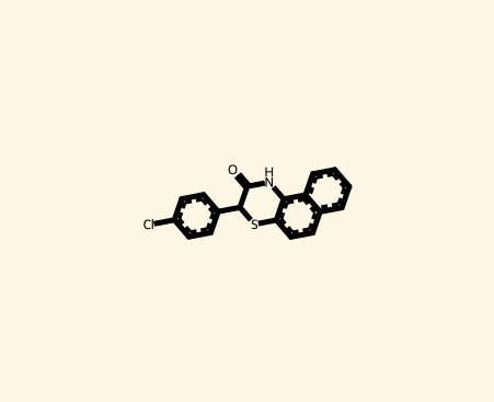 O=C1Nc2c(ccc3ccccc23)SC1c1ccc(Cl)cc1